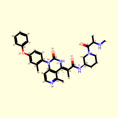 CNC(C)C(=O)N1CCC[C@@H](NC(=O)/C(C)=C2\NC(=O)N(c3ccc(Oc4ccccc4)cc3C)c3ccnc(C)c32)C1